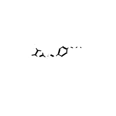 COOSc1ccc(N=NNc2nc(C)c(C)s2)cc1